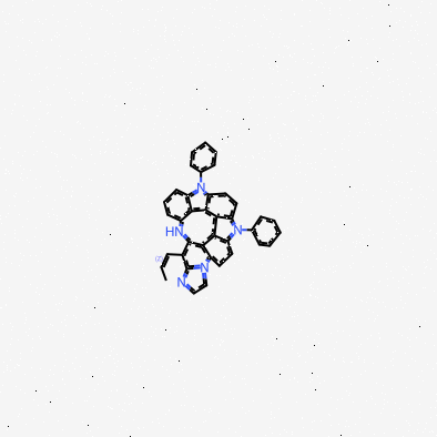 C/C=C\c1c2[nH]c3cccc4c3c3c5c6c2c(ccc6n(-c2ccccc2)c5ccc3n4-c2ccccc2)n2ccnc12